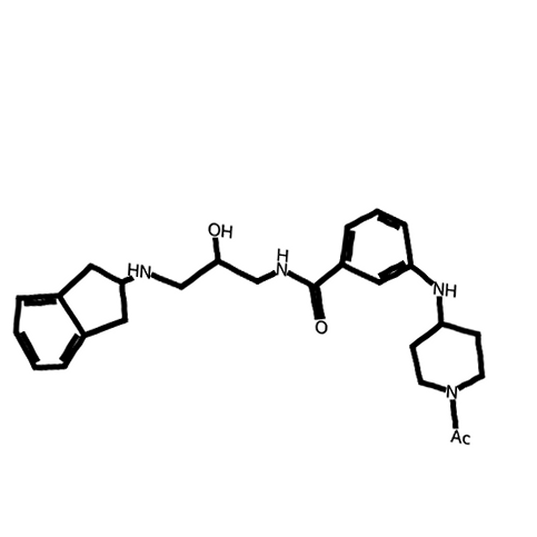 CC(=O)N1CCC(Nc2cccc(C(=O)NCC(O)CNC3Cc4ccccc4C3)c2)CC1